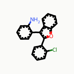 Nc1ccccc1-c1c(-c2ccccc2Cl)oc2ccccc12